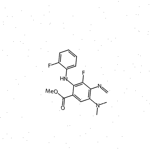 C=Nc1c(N(C)C)cc(C(=O)OC)c(Nc2ccccc2F)c1F